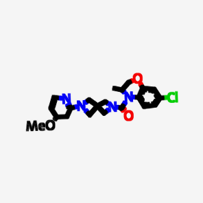 COC1C=CN=C(N2CC3(CN(C(=O)N4c5ccc(Cl)cc5OCC4C)C3)C2)C1